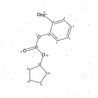 O=Cc1ccccc1OC(=O)OC1CCCC1